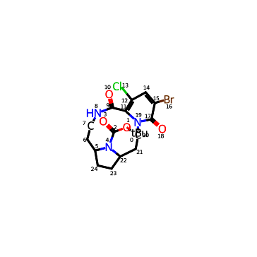 CC(C)(C)OC(=O)N1C2CCNC(=O)c3c(Cl)cc(Br)c(=O)n3CCC1CC2